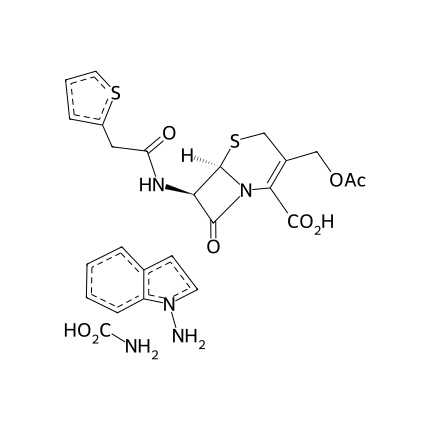 CC(=O)OCC1=C(C(=O)O)N2C(=O)[C@@H](NC(=O)Cc3cccs3)[C@H]2SC1.NC(=O)O.Nn1ccc2ccccc21